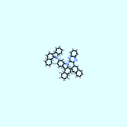 c1ccc2cc(-c3nc4ccccc4nc3-n3c4cc(-n5c6ccccc6c6ccc7ccccc7c65)ccc4c4c5ccccc5ccc43)ccc2c1